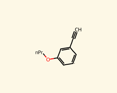 C#Cc1c[c]cc(OCCC)c1